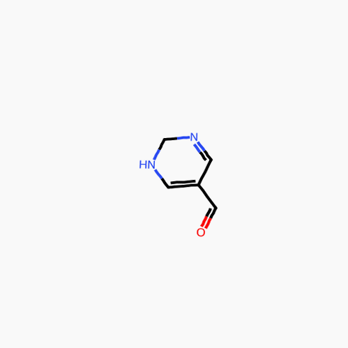 O=CC1=CNCN=C1